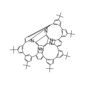 CC(C)(C)c1cc2cc(c1)c1ccc3c4cc(C(C)(C)C)cc(c4)c4cc(C(C)(C)C)cc(c4)c4ccc5c6cc(C(C)(C)C)cc(c6)c6cc(C(C)(C)C)cc(c6)c6ccc(c7cc(C(C)(C)C)cc2c7)c2nc7c8nc1c3nc8c1nc4c5nc1c7nc62